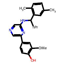 CCCC(Nc1cncc(-c2ccc(O)c(OC)c2)n1)c1cc(C)ccc1C